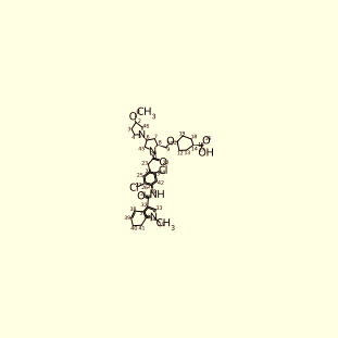 CO[C@@H]1CCN([C@H]2C[C@@H](CO[C@H]3CC[C@H](C(=O)O)CC3)N(C(=O)Cc3cc(Cl)c(NC(=O)c4cn(C)c5c4C=CCC5)cc3Cl)C2)C1